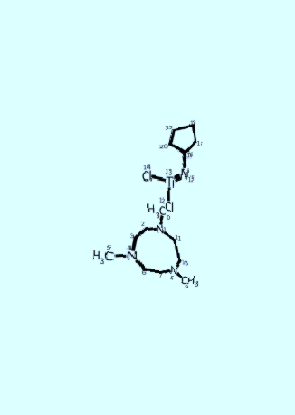 CN1CCN(C)CCN(C)CC1.[Cl][Ti]([Cl])=[N]C1CCCC1